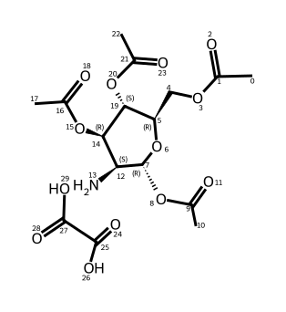 CC(=O)OC[C@H]1O[C@H](OC(C)=O)[C@@H](N)[C@@H](OC(C)=O)[C@@H]1OC(C)=O.O=C(O)C(=O)O